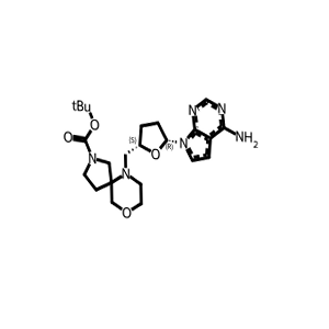 CC(C)(C)OC(=O)N1CCC2(COCCN2C[C@@H]2CC[C@H](n3ccc4c(N)ncnc43)O2)C1